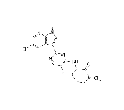 CN1CCCC(Nc2nc(-c3c[nH]c4ncc(Cl)cc34)ncc2F)C1=O